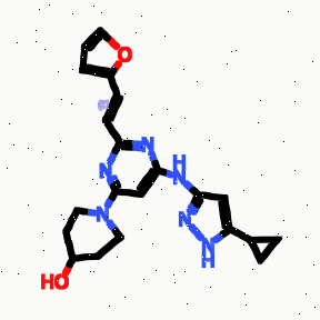 OC1CCN(c2cc(Nc3cc(C4CC4)[nH]n3)nc(/C=C/c3ccco3)n2)CC1